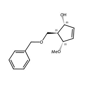 CO[C@H]1C=C[C@@H](O)[C@@H]1COCc1ccccc1